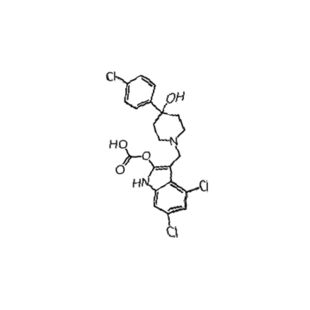 O=C(O)Oc1[nH]c2cc(Cl)cc(Cl)c2c1CN1CCC(O)(c2ccc(Cl)cc2)CC1